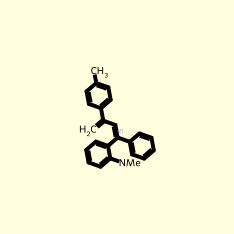 C=C(/C=C(/c1ccccc1)c1ccccc1NC)c1ccc(C)cc1